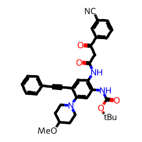 COC1CCN(c2cc(NC(=O)OC(C)(C)C)c(NC(=O)CC(=O)c3cccc(C#N)c3)cc2C#Cc2ccccc2)CC1